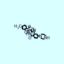 Cc1ccc(S(=O)(=O)c2nnn3c2[nH]c(=O)c2ccc(N4CCCNCC4)cc23)c(C)c1